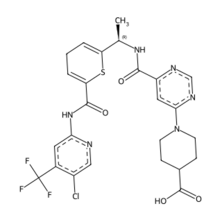 C[C@@H](NC(=O)c1cc(N2CCC(C(=O)O)CC2)ncn1)C1=CCC=C(C(=O)Nc2cc(C(F)(F)F)c(Cl)cn2)S1